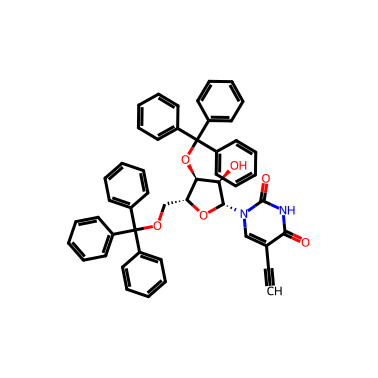 C#Cc1cn([C@@H]2O[C@H](COC(c3ccccc3)(c3ccccc3)c3ccccc3)[C@@H](OC(c3ccccc3)(c3ccccc3)c3ccccc3)[C@H]2O)c(=O)[nH]c1=O